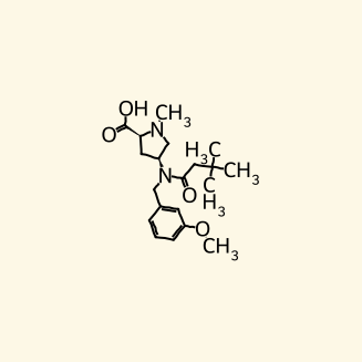 COc1cccc(CN(C(=O)CC(C)(C)C)[C@H]2C[C@@H](C(=O)O)N(C)C2)c1